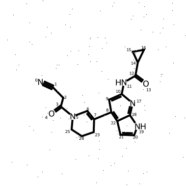 N#CCC(=O)N1C=C(c2cc(NC(=O)C3CC3)nc3[nH]ccc23)CCC1